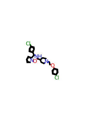 O=C(NC(c1ccc(Cl)cc1)c1ccccn1)C1CCN(CCOc2ccc(Cl)cc2)CC1